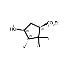 CCOC(=O)[C@@H]1C[C@H](O)[C@@H](C)C1(C)C